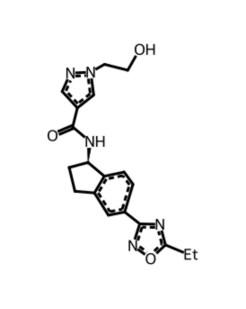 CCc1nc(-c2ccc3c(c2)CC[C@H]3NC(=O)c2cnn(CCO)c2)no1